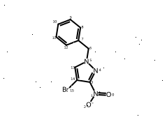 O=[N+]([O-])c1nn(Cc2ccccc2)cc1Br